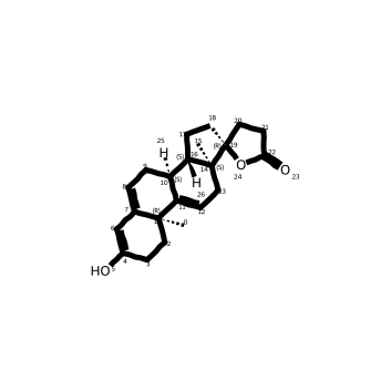 C[C@]12CCC(O)=CC1=CC[C@@H]1C2=CC[C@@]2(C)[C@H]1CC[C@@]21CCC(=O)O1